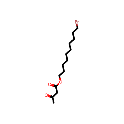 CC(=O)CC(=O)OCCCCCCCCCCBr